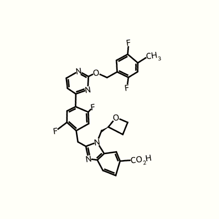 Cc1cc(F)c(COc2nccc(-c3cc(F)c(Cc4nc5ccc(C(=O)O)cc5n4C[C@@H]4CCO4)cc3F)n2)cc1F